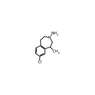 CC1CN(N)CCc2ccc(Cl)cc21